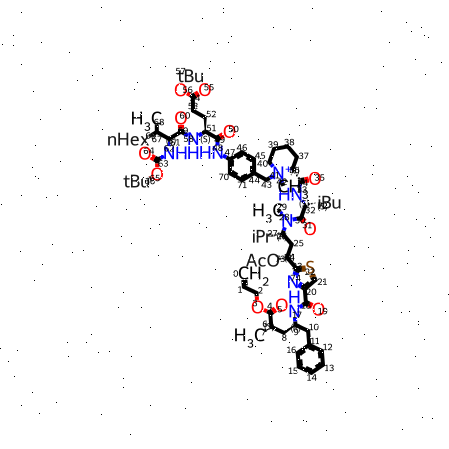 C=CCOC(=O)[C@@H](C)C[C@H](Cc1ccccc1)NC(=O)c1csc([C@@H](C[C@H](C(C)C)N(C)C(=O)[C@@H](NC(=O)[C@H]2CCCC[N+]2(C)Cc2ccc(NC(=O)[C@H](CCC(=O)OC(C)(C)C)NC(=O)[C@@H](NC(=O)OC(C)(C)C)C(C)CCCCCC)cc2)[C@@H](C)CC)OC(C)=O)n1